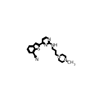 CN1CCN(CCCNc2nccc(-c3cc4cccc(C#N)c4s3)n2)CC1